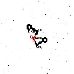 COc1ccccc1C#CC(C)CCOC(=O)OCCC(C)C#Cc1ccccc1OC